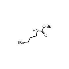 CC(C)COC(=O)NCCCC(C)(C)C